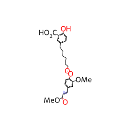 COC(=O)/C=C/c1ccc(OOCCCCCCc2ccc(O)c(C(=O)O)c2)c(OC)c1